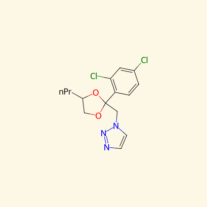 CCCC1COC(Cn2ccnn2)(c2ccc(Cl)cc2Cl)O1